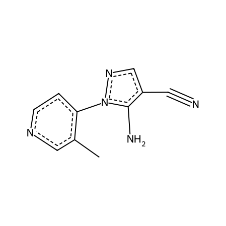 Cc1cnccc1-n1ncc(C#N)c1N